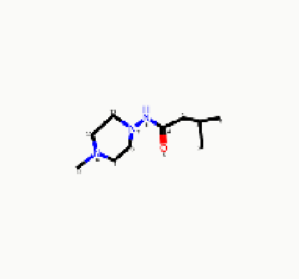 CC(C)CC(=O)NN1CCN(C)CC1